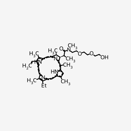 C=Cc1c(C)c2cc3nc(c(C)c4cc(C)c(cc5nc(cc1[nH]2)C(C)=C5CC)[nH]4)[C@H](C(C)C(=O)N(C)CCOCCOCCO)[C@@H]3C